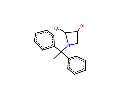 CC1C(O)CN1C(I)(c1ccccc1)c1ccccc1